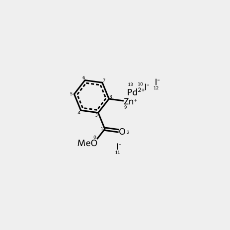 COC(=O)c1cccc[c]1[Zn+].[I-].[I-].[I-].[Pd+2]